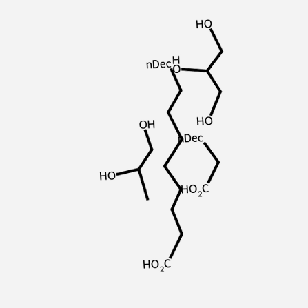 CC(O)CO.CCCCCCCCCCCC(=O)O.CCCCCCCCCCCCCCCCCC(=O)O.OCC(O)CO